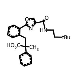 CC(C)(C)CCNC(=O)c1coc(-c2ccccc2CC(C)(C(=O)O)c2ccccc2)n1